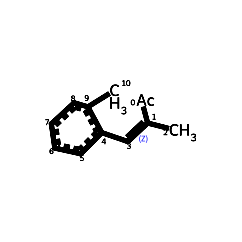 CC(=O)/C(C)=C\c1ccccc1C